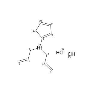 C=C[CH2][Hf]([CH2]C=C)[C]1=CC=CC1.Cl.Cl